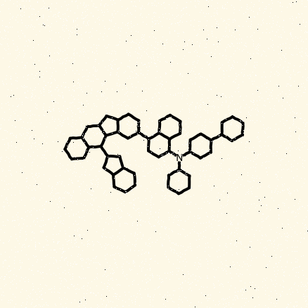 C1CCC(C2CCC(N(C3CCCCC3)C3CCC(C4CCC5CC6CC7CCCCC7C(C7CC8CCCCC8C7)C6C5C4)C4CCCCC43)CC2)CC1